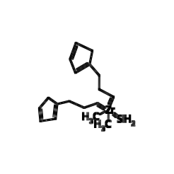 [CH3][Zr]([CH3])(=[SiH2])(=[CH]CCC1=CC=CC1)=[CH]CCC1=CC=CC1